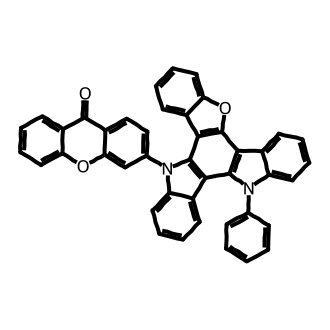 O=c1c2ccccc2oc2cc(-n3c4ccccc4c4c5c(c6ccccc6n5-c5ccccc5)c5oc6ccccc6c5c43)ccc12